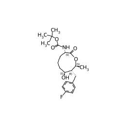 C[C@@H]1OC(=O)[C@@H](NC(=O)OC(C)(C)C)CCC[C@H](O)[C@H]1Cc1ccc(F)cc1